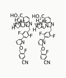 CC(=O)N1[C@@H](Cn2c(Cc3cc(F)c(-c4cccc(OCc5ccc(C#N)cc5F)n4)cc3F)nc3ccc(C(=O)O)cc32)C[C@H]2C[C@H]21.CC(=O)N1[C@@H](Cn2c(Cc3cc(F)c(-c4cccc(OCc5ccc(C#N)cc5F)n4)cc3F)nc3ccc(C(=O)O)cc32)C[C@H]2C[C@H]21